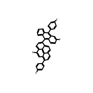 Fc1ccc(-c2c3ccccc3c(-c3ccc4c(F)cc5c(-c6ccc(F)cc6)ccc6ccc3c4c65)c3ccc(F)cc23)cc1